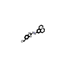 O=Cc1ccc2nc(/N=N/c3cc4c5c(c3)CCCN5CCC4)sc2c1